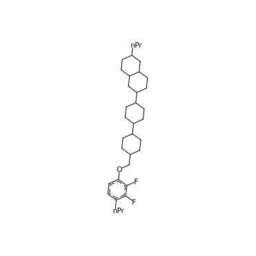 CCCc1ccc(OCC2CCC(C3CCC(C4CCC5CC(CCC)CCC5C4)CC3)CC2)c(F)c1F